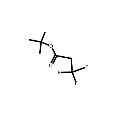 CC(C)(C)OC(=O)CC(F)(F)F